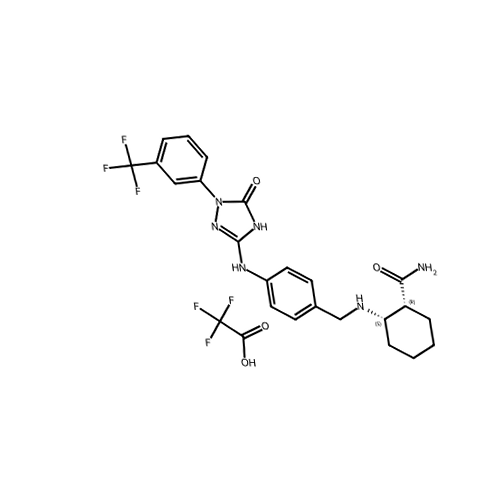 NC(=O)[C@@H]1CCCC[C@@H]1NCc1ccc(Nc2nn(-c3cccc(C(F)(F)F)c3)c(=O)[nH]2)cc1.O=C(O)C(F)(F)F